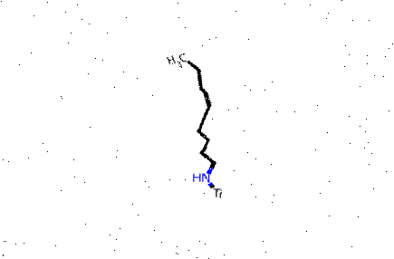 CCCCCCCC[NH][Ti]